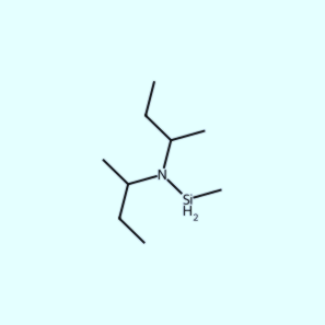 CCC(C)N([SiH2]C)C(C)CC